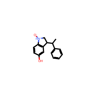 CC(c1ccccc1)C1C[NH+]([O-])c2ccc(O)cc21